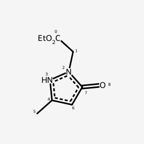 CCOC(=O)Cn1[nH]c(C)cc1=O